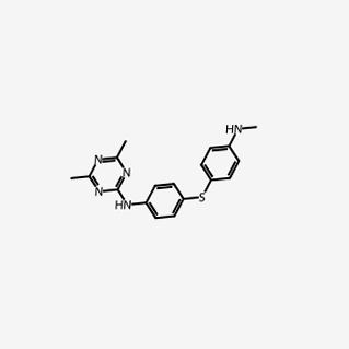 CNc1ccc(Sc2ccc(Nc3nc(C)nc(C)n3)cc2)cc1